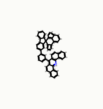 c1cc(-c2ccc3c(c2)C2(c4ccccc4-3)c3ccccc3-c3cccc4cccc2c34)cc(-c2c3ccc4ccccc4c3nc3c2ccc2ccccc23)c1